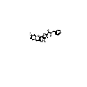 Cn1cc(Cc2ccc(F)cc2)c(=O)c2oc(C(=O)NCc3ccccc3)nc21